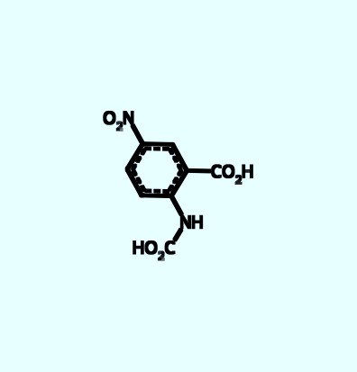 O=C(O)Nc1ccc([N+](=O)[O-])cc1C(=O)O